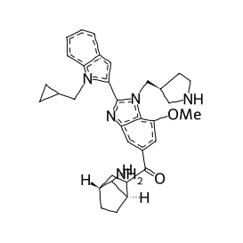 COc1cc(C(=O)C2C[C@H]3CC[C@H]2[C@@H]3N)cc2nc(-c3cc4ccccc4n3CC3CC3)n(C[C@H]3CCNC3)c12